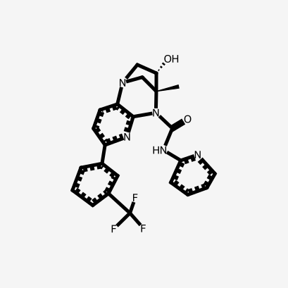 C[C@@]12CN(C[C@@H]1O)c1ccc(-c3cccc(C(F)(F)F)c3)nc1N2C(=O)Nc1ccccn1